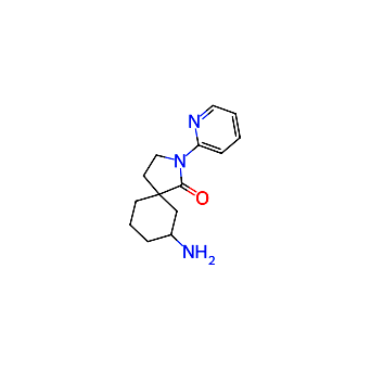 NC1CCCC2(CCN(c3ccccn3)C2=O)C1